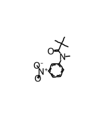 CN(C(=O)C(C)(C)C)c1cccc([N+](=O)[O-])c1